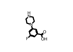 O=C(O)c1cc(F)cc(N2CCNCC2)c1